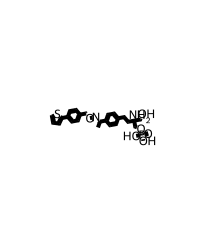 C/C(=N\OCc1ccc(-c2cccs2)cc1)c1ccc(CCC(N)(CO)COP(=O)(O)O)cc1